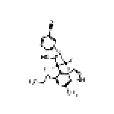 CCOc1cc(C)c2[nH]ccc2c1C(O)(c1nc2cc(C#N)ccc2[nH]1)C(F)(F)F